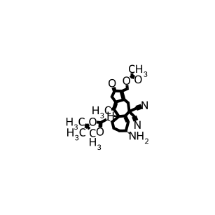 CC(=O)OCC1=C2CC(C#N)(C#N)C3=C[C@H](N)CC[C@H](CC(=O)OC(C)(C)C)[C@@H]3C(C)=C2CC1=O